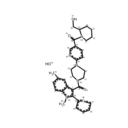 Cc1ccc2c(c1)c(C(=O)N1CCN(c3ccc(C(=O)N4CCCCC4CO)cn3)CC1)c(-c1ccccc1)n2C.Cl